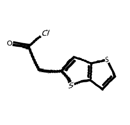 O=C(Cl)Cc1cc2sccc2s1